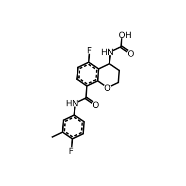 Cc1cc(NC(=O)c2ccc(F)c3c2OCCC3NC(=O)O)ccc1F